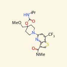 CNC(=O)c1csc2c(C(F)(F)F)cc(N3CCC(COC)(OC(=O)NC(C)C)CC3)nc12